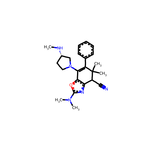 CN[C@H]1CCN(C2=C(c3ccccc3)C(C)(C)C(C#N)c3nc(N(C)C)oc32)C1